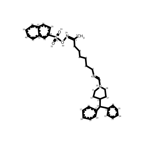 CC(CCCCCCN=CN1CCC(C(c2ccccc2)c2ccccc2)CC1)=NOS(=O)(=O)c1ccc2ccccc2c1